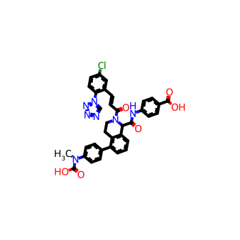 CN(C(=O)O)c1ccc(-c2cccc3c2CCN(C(=O)/C=C/c2cc(Cl)ccc2-n2cnnn2)C3C(=O)Nc2ccc(C(=O)O)cc2)cc1